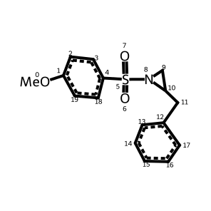 COc1ccc(S(=O)(=O)N2CC2Cc2ccccc2)cc1